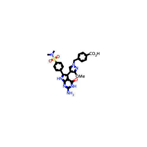 COc1nn(Cc2ccc(C(=O)O)cc2)cc1-c1c(-c2ccc(S(=O)(=O)N(C)C)cc2)[nH]c2nc(N)[nH]c(=O)c12